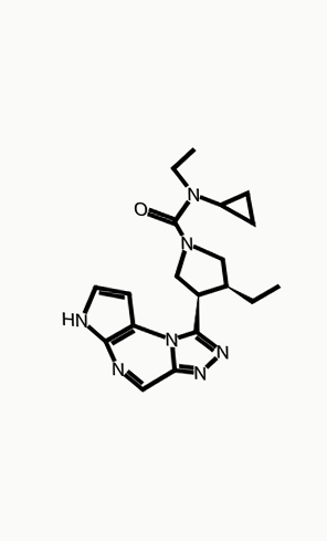 CC[C@@H]1CN(C(=O)N(CC)C2CC2)C[C@@H]1c1nnc2cnc3[nH]ccc3n12